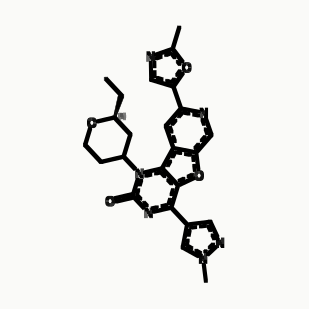 CC[C@H]1CC(n2c(=O)nc(-c3cnn(C)c3)c3oc4cnc(-c5cnc(C)o5)cc4c32)CCO1